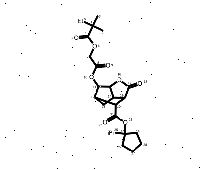 CCC(C)(C)C(=O)OCC(=O)OC1C2CC3C1OC(=O)C3C2C(=O)OC1(C(C)C)CCCC1